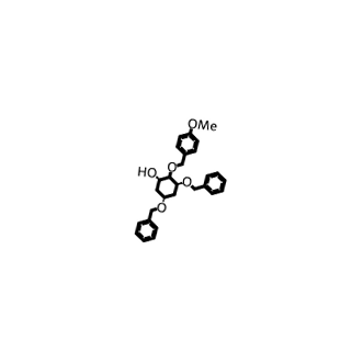 COc1ccc(COC2[C@H](O)C[C@@H](OCc3ccccc3)C[C@@H]2OCc2ccccc2)cc1